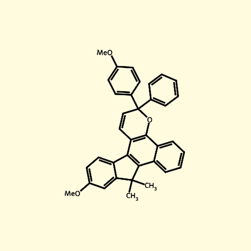 COc1ccc(C2(c3ccccc3)C=Cc3c4c(c5ccccc5c3O2)C(C)(C)c2cc(OC)ccc2-4)cc1